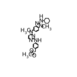 CN(c1ccc2c(c1)nc(NC1CCCCC1)n2C)c1ccnc(Nc2ccc(CS(C)(=O)=O)cc2)n1